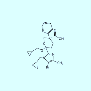 Cc1nc([C@]2(OCC3CC3)CC[C@](C(=O)O)(c3ccccc3)CC2)n(CC2CC2)c1Br